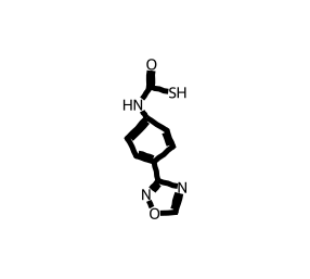 O=C(S)Nc1ccc(-c2ncon2)cc1